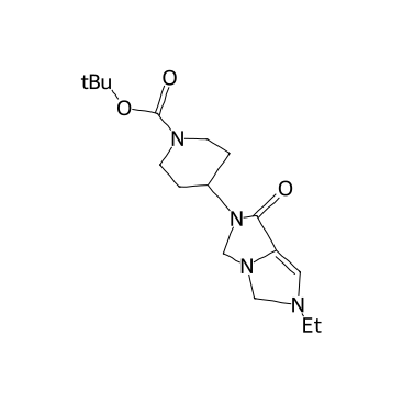 CCN1C=C2C(=O)N(C3CCN(C(=O)OC(C)(C)C)CC3)CN2C1